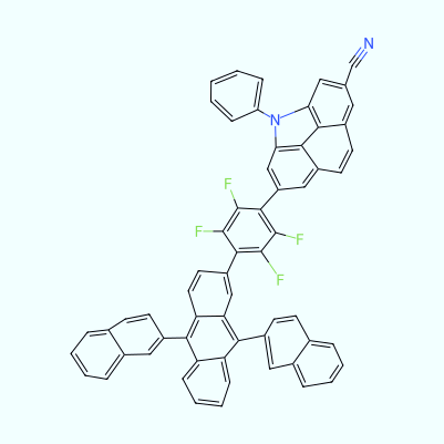 N#Cc1cc2ccc3cc(-c4c(F)c(F)c(-c5ccc6c(-c7ccc8ccccc8c7)c7ccccc7c(-c7ccc8ccccc8c7)c6c5)c(F)c4F)cc4c3c2c(c1)n4-c1ccccc1